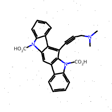 CN(C)CC#Cc1c2c3ccccc3n(C(=O)O)c2cc2c3ccccc3n(C(=O)O)c12